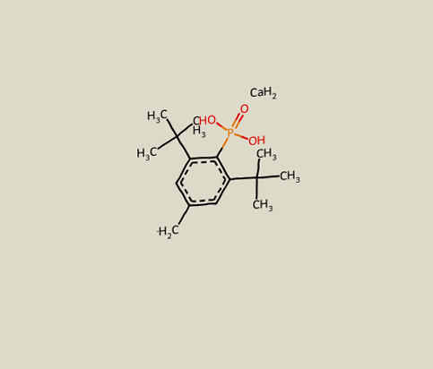 [CH2]c1cc(C(C)(C)C)c(P(=O)(O)O)c(C(C)(C)C)c1.[CaH2]